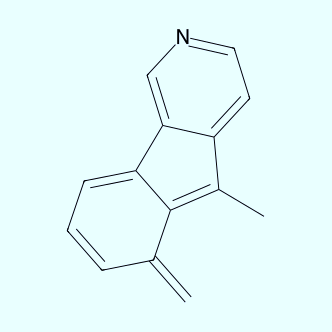 C=c1cccc2c1=C(C)c1ccncc1-2